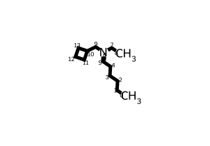 CCCCCC=[N+](CC)CC1CCC1